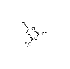 CC(Cl)Cl.O=C(OC(=O)C(F)(F)F)C(F)(F)F